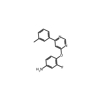 Cc1cccc(-c2cc(Oc3ccc(N)cc3F)ncn2)c1